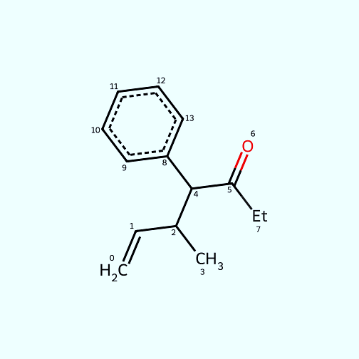 C=CC(C)C(C(=O)CC)c1ccccc1